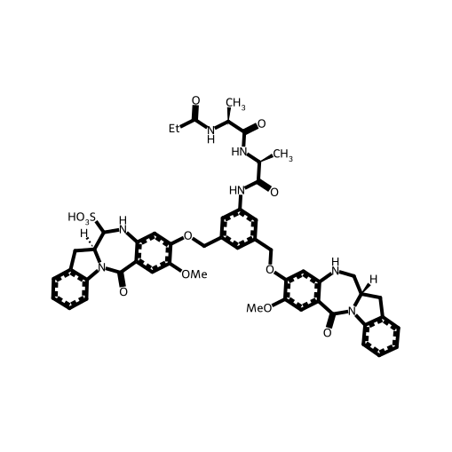 CCC(=O)N[C@@H](C)C(=O)N[C@@H](C)C(=O)Nc1cc(COc2cc3c(cc2OC)C(=O)N2c4ccccc4C[C@H]2CN3)cc(COc2cc3c(cc2OC)C(=O)N2c4ccccc4C[C@H]2C(S(=O)(=O)O)N3)c1